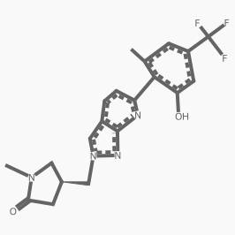 Cc1cc(C(F)(F)F)cc(O)c1-c1ccc2cn(C[C@H]3CC(=O)N(C)C3)nc2n1